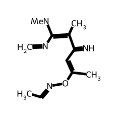 C=N/C(NC)=C(/C)C(=N)/C=C(\C)O/N=C/C